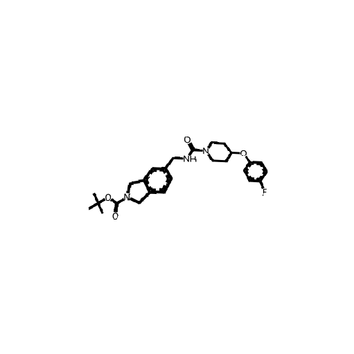 CC(C)(C)OC(=O)N1Cc2ccc(CNC(=O)N3CCC(Oc4ccc(F)cc4)CC3)cc2C1